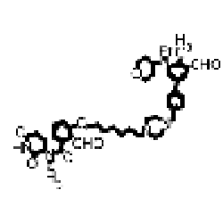 CCN(c1cc(-c2ccc(CN3CCN(CCCCCCCOc4cccc(C(=O)N(C)C5CCC(=O)NC5=O)c4C=O)CC3)cc2)cc(C=O)c1C)C1CCOCC1